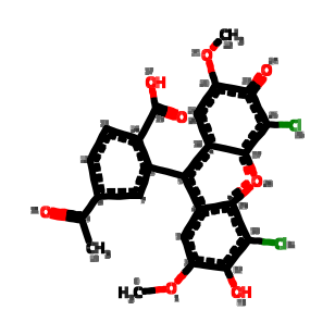 COc1cc2c(-c3cc(C(C)=O)ccc3C(=O)O)c3cc(OC)c(=O)c(Cl)c-3oc2c(Cl)c1O